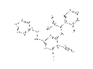 Cc1ccccc1C(Oc1cc(OCc2ccncc2)cc(F)c1C#N)C(=O)O